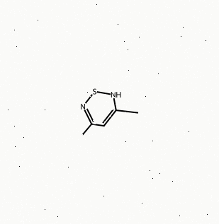 CC1=CC(C)=NSN1